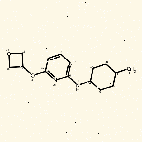 CC1CCC(Nc2nccc(OC3COC3)n2)CC1